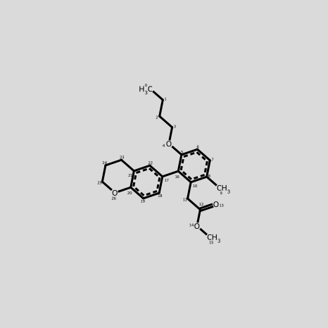 CCCCOc1ccc(C)c(CC(=O)OC)c1-c1ccc2c(c1)CCCO2